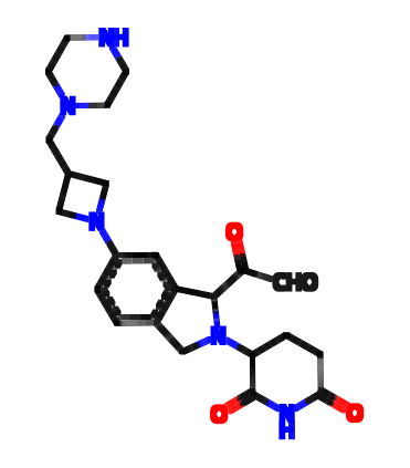 O=CC(=O)C1c2cc(N3CC(CN4CCNCC4)C3)ccc2CN1C1CCC(=O)NC1=O